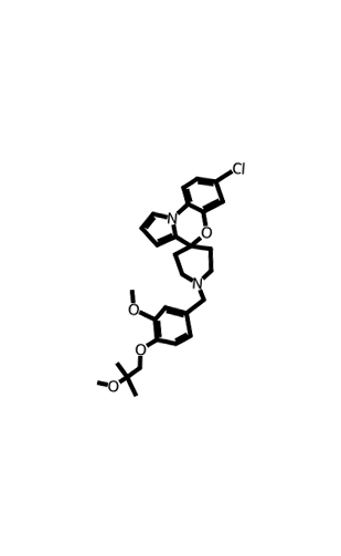 COc1cc(CN2CCC3(CC2)Oc2cc(Cl)ccc2-n2cccc23)ccc1OCC(C)(C)OC